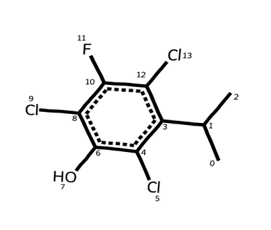 CC(C)c1c(Cl)c(O)c(Cl)c(F)c1Cl